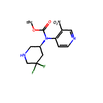 CC(C)(C)OC(=O)N(c1ccncc1[N+](=O)[O-])[C@@H]1CNCC(F)(F)C1